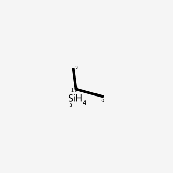 C[CH]C.[SiH4]